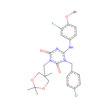 CC(C)Oc1ccc(Nc2nc(=O)n(CC3(C)COC(C)(C)OC3)c(=O)n2Cc2ccc(Cl)cc2)cc1F